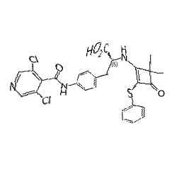 CC1(C)C(=O)C(Sc2ccccc2)=C1N[C@@H](Cc1ccc(NC(=O)c2c(Cl)cncc2Cl)cc1)C(=O)O